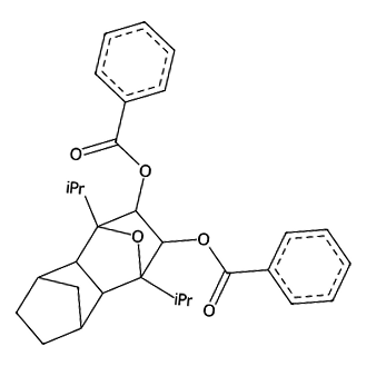 CC(C)C12OC(C(C)C)(C(OC(=O)c3ccccc3)C1OC(=O)c1ccccc1)C1C3CCC(C3)C12